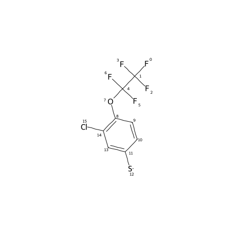 FC(F)(F)C(F)(F)Oc1ccc([S])cc1Cl